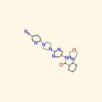 N#Cc1ccc(N2CCN(c3ncc(NC(=O)c4ccccc4N4CCOCC4)cn3)CC2)nc1